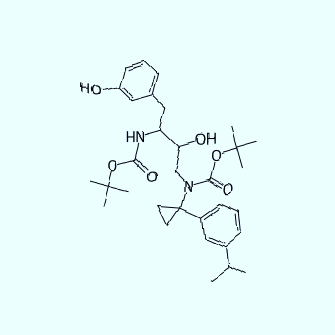 CC(C)c1cccc(C2(N(CC(O)C(Cc3cccc(O)c3)NC(=O)OC(C)(C)C)C(=O)OC(C)(C)C)CC2)c1